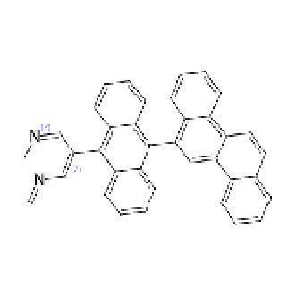 C=N/C=C(\C=N/C)c1c2ccccc2c(-c2cc3c4ccccc4ccc3c3ccccc23)c2ccccc12